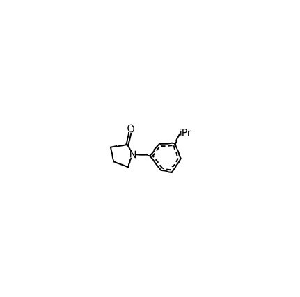 CC(C)c1cccc(N2CCCC2=O)c1